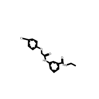 CCNC(=O)c1cccc(NC(=O)COc2ccc(Cl)cc2)c1